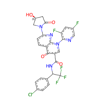 O=C(NC(c1ccc(Cl)cc1)C(F)(F)F)c1cn(-c2ncc(F)cc2F)c2nc(N3C[C@@H](O)CC3=O)ccc2c1=O